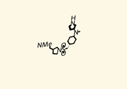 CNCC1CCN(S(=O)(=O)C[C@H]2CC[C@H](N(C)c3cc[nH]c3)CC2)C1